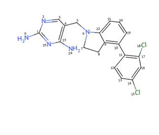 Nc1ncc(CN2CCc3c(-c4ccc(Cl)cc4Cl)cccc32)c(N)n1